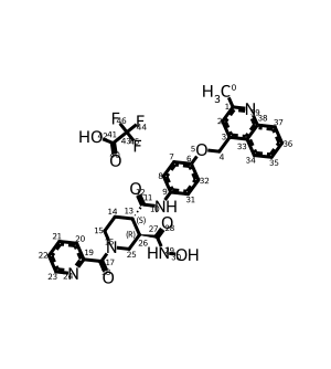 Cc1cc(COc2ccc(NC(=O)[C@H]3CCN(C(=O)c4ccccn4)C[C@@H]3C(=O)NO)cc2)c2ccccc2n1.O=C(O)C(F)(F)F